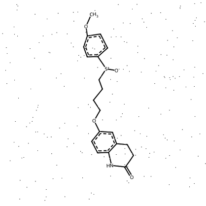 COc1ccc([S+]([O-])CCCCOc2ccc3c(c2)CCC(=O)N3)cc1